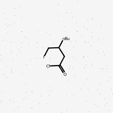 CCCCC(CI)CC(=O)Cl